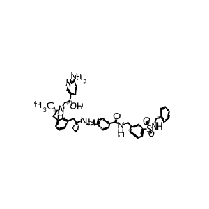 C[C@H](Cc1cccc(CC(=O)NCc2ccc(C(=O)NCc3cccc(S(=O)(=O)NCc4ccccc4)c3)cc2)c1)NC[C@H](O)c1ccc(N)nc1